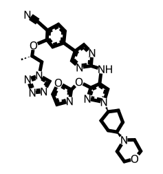 C[C@@H](Cn1cnnn1)Oc1cc(-c2cnc(Nc3cn([C@H]4CC[C@H](N5CCOCC5)CC4)nc3Oc3ncco3)nc2)ccc1C#N